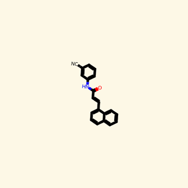 N#Cc1cccc(NC(=O)/C=C/c2cccc3ccccc23)c1